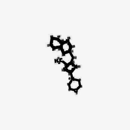 Cc1sc(N2CCOCC2)nc1Cc1cnc2ccccc2c1